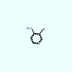 CC(C)c1cnccc1C(=O)O